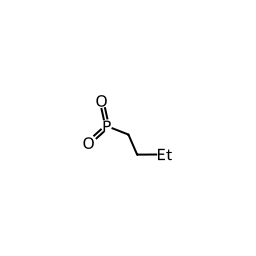 CCCCP(=O)=O